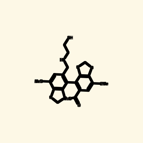 COC(=O)c1cc(OC)c2c(c1-c1c(CNCCO)cc(OC)c3c1OCO3)OCO2